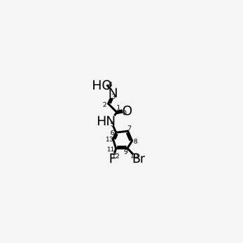 O=C(/C=N/O)Nc1ccc(Br)c(F)c1